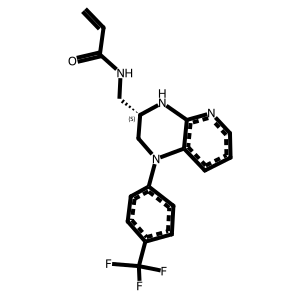 C=CC(=O)NC[C@H]1CN(c2ccc(C(F)(F)F)cc2)c2cccnc2N1